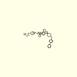 CC1CCN(CCNC(=O)c2ccc(OC3CCC(Cc4ccc(-c5ccccc5)cc4)CC3)c(Cl)c2)CC1